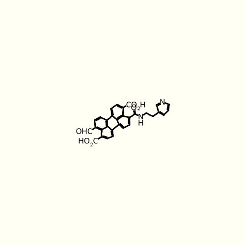 O=Cc1ccc2c3ccc(C(=O)O)c4c(C(=O)NCCc5cccnc5)ccc(c5ccc(C(=O)O)c1c25)c43